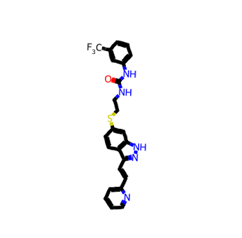 O=C(NCCSc1ccc2c(C=Cc3ccccn3)n[nH]c2c1)Nc1cccc(C(F)(F)F)c1